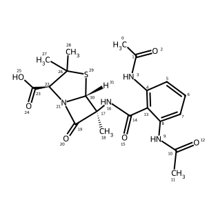 CC(=O)Nc1cccc(NC(C)=O)c1C(=O)N[C@@]1(C)C(=O)N2[C@@H](C(=O)O)C(C)(C)S[C@@H]21